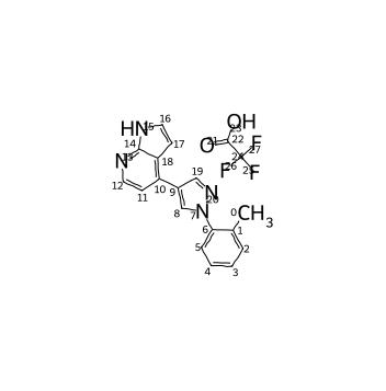 Cc1ccccc1-n1cc(-c2ccnc3[nH]ccc23)cn1.O=C(O)C(F)(F)F